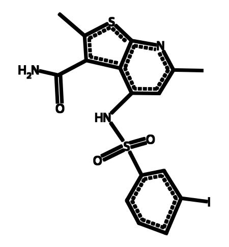 Cc1cc(NS(=O)(=O)c2cccc(I)c2)c2c(C(N)=O)c(C)sc2n1